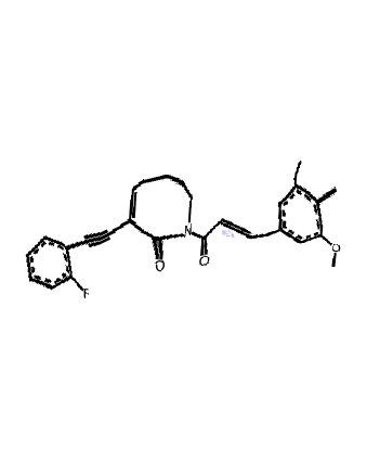 COc1cc(/C=C/C(=O)N2CCC=C(C#Cc3ccccc3F)C2=O)cc(C)c1C